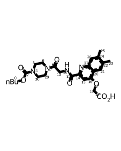 CCCCOC(=O)N1CCN(C(=O)CNC(=O)c2cc(OCC(=O)O)c3cc(C)c(C)cc3n2)CC1